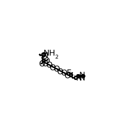 C=CC1=C(Cc2cc(OC)c(OCCOCCOCCOCCOCCOCCOc3cc(CC4CCc5nc(-c6ncccn6)ccc5[C@H]4C)cc(C)c3F)c(OC)c2)C=NC(N)=C=C1